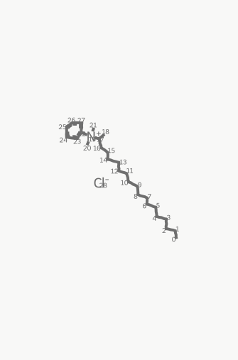 CCCCCCCCCCCCCCCCCC(C)[N+](C)(C)c1ccccc1.[Cl-]